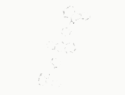 c1ccc2c(-c3ccc(-n4c5ccccc5c5ccccc54)cc3)c3ccccc3c(-c3ccc(-n4c5ccccc5c5ccccc54)cc3)c2c1